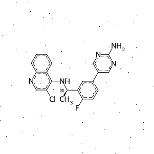 C[C@@H](Nc1c(Cl)cnc2ccccc12)c1cc(-c2cnc(N)nc2)ccc1F